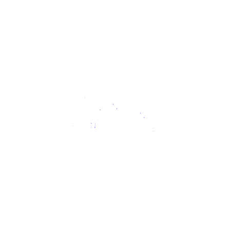 CCN=C1SCN(CC)C(=O)N1CC